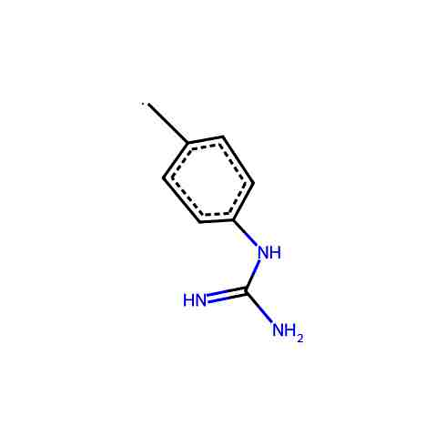 [CH2]c1ccc(NC(=N)N)cc1